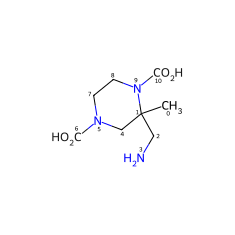 CC1(CN)CN(C(=O)O)CCN1C(=O)O